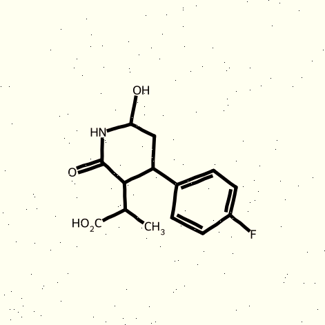 CC(C(=O)O)C1C(=O)NC(O)CC1c1ccc(F)cc1